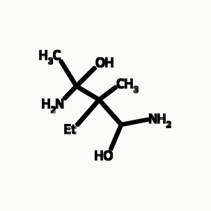 CCC(C)(C(N)O)C(C)(N)O